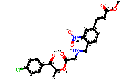 COC(=O)C=Cc1ccc(CNCC(=O)OC(C)C(=O)c2ccc(Cl)cc2)c([N+](=O)[O-])c1